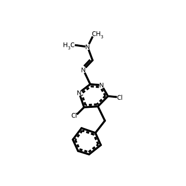 CN(C)/C=N/c1nc(Cl)c(Cc2ccccc2)c(Cl)n1